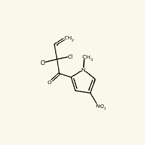 C=CC(Cl)(Cl)C(=O)c1cc([N+](=O)[O-])cn1C